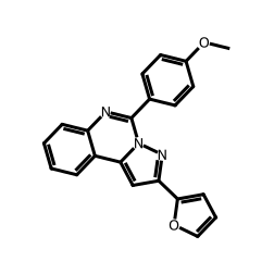 COc1ccc(-c2nc3ccccc3c3cc(-c4ccco4)nn23)cc1